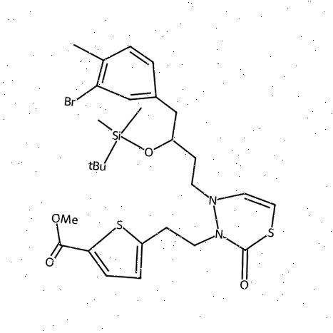 COC(=O)c1ccc(CCN2C(=O)SC=CN2CCC(Cc2ccc(C)c(Br)c2)O[Si](C)(C)C(C)(C)C)s1